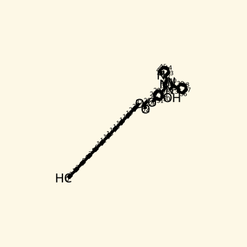 C#CC#CC#CC#CC#CC#CC#CC#CC#CC#CC#COC(=O)COc1ccc(-c2nc(-c3ccccc3)nc(-c3ccccn3)n2)c(O)c1